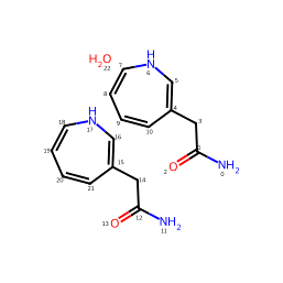 NC(=O)CC1=CNC=CC=C1.NC(=O)CC1=CNC=CC=C1.O